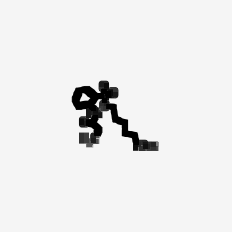 C=CC(=O)Nc1ccccc1S(=O)(=O)OCCCCCCCCCCCCCCC